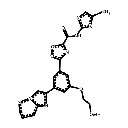 COCCOc1cc(-c2cn3ncccc3n2)cc(-c2noc(C(=O)Nc3ncc(C)s3)n2)c1